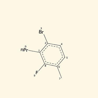 CCCc1c(Br)ccc(C)c1F